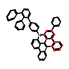 c1ccc(-c2cc(-c3ccccc3)cc(N(c3ccc(-c4cccc(-c5ccccc5)c4-c4ccccc4)cc3)c3cccc4c3c(-c3ccccc3)c(-c3ccccc3)c3ccccc34)c2)cc1